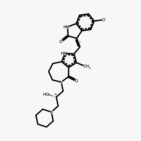 Cc1c(/C=C2\C(=O)Nc3ccc(Cl)cc32)[nH]c2c1C(=O)N(C[C@@H](O)CN1CCCCC1)CCC2